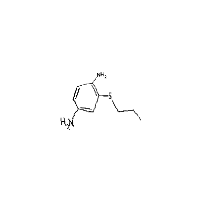 CCCSc1cc(N)ccc1N